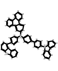 c1ccc2c(c1)oc1cccc(-c3ccc(N(c4ccc(-c5ccc(-n6c7ccccc7c7ccccc76)cc5)cc4)c4ccc5c6ccccc6c6ccccc6c5c4)cc3)c12